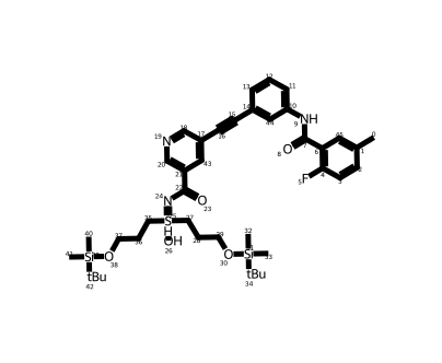 Cc1ccc(F)c(C(=O)Nc2cccc(C#Cc3cncc(C(=O)N=[SH](O)(CCCO[Si](C)(C)C(C)(C)C)CCCO[Si](C)(C)C(C)(C)C)c3)c2)c1